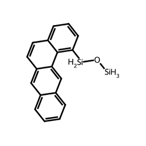 [SiH3]O[SiH2]c1cccc2ccc3cc4ccccc4cc3c12